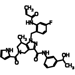 C=CC(=O)Nc1cc(F)ccc1Cn1nc(C(=O)Nc2cccc(C(C)O)c2)c2c1C(C)CN(C(=O)c1ccc[nH]1)C2